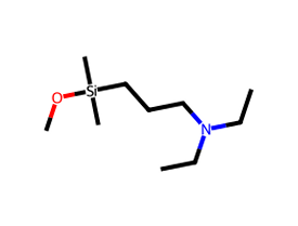 CCN(CC)CCC[Si](C)(C)OC